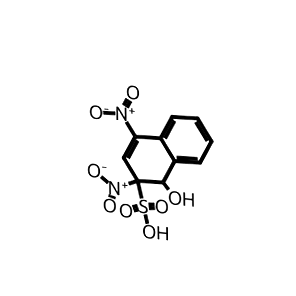 O=[N+]([O-])C1=CC([N+](=O)[O-])(S(=O)(=O)O)C(O)c2ccccc21